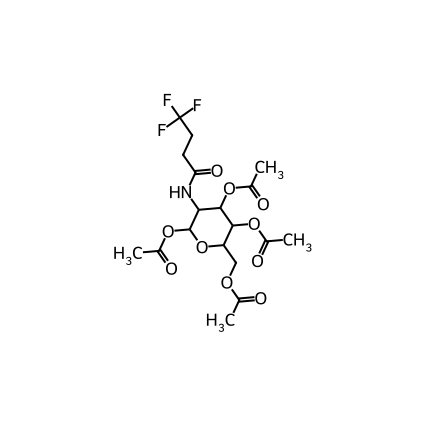 CC(=O)OCC1OC(OC(C)=O)C(NC(=O)CCC(F)(F)F)C(OC(C)=O)C1OC(C)=O